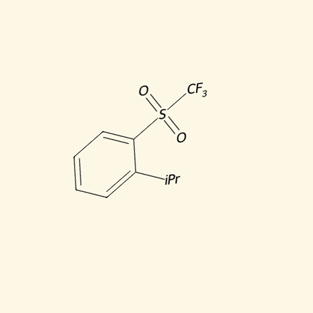 CC(C)c1ccccc1S(=O)(=O)C(F)(F)F